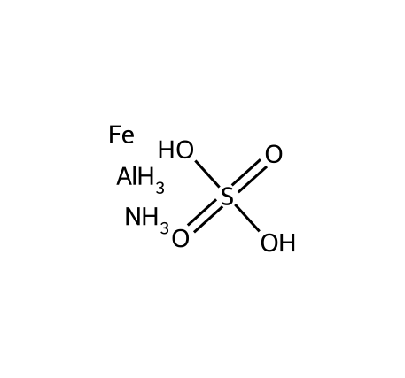 N.O=S(=O)(O)O.[AlH3].[Fe]